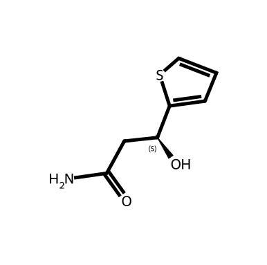 NC(=O)C[C@H](O)c1cccs1